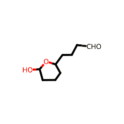 O=CCCCC1CCCC(O)O1